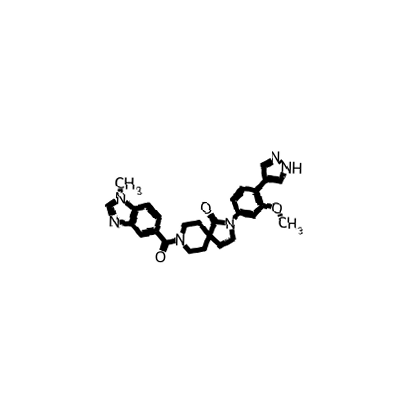 COc1cc(N2CCC3(CCN(C(=O)c4ccc5c(c4)ncn5C)CC3)C2=O)ccc1-c1cn[nH]c1